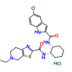 CC(C)CN1CCc2nc(C(=O)N[C@H]3CCCC[C@H]3NC(=O)c3cc4cc(Cl)ccc4[nH]3)sc2C1.Cl